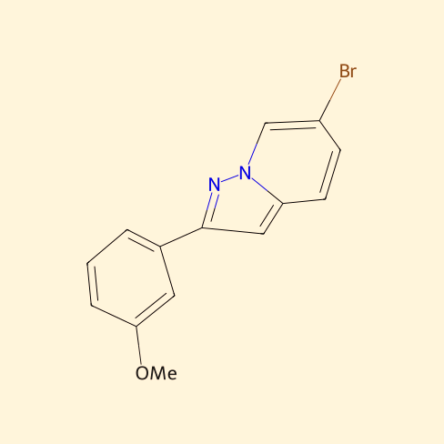 COc1cccc(-c2cc3ccc(Br)cn3n2)c1